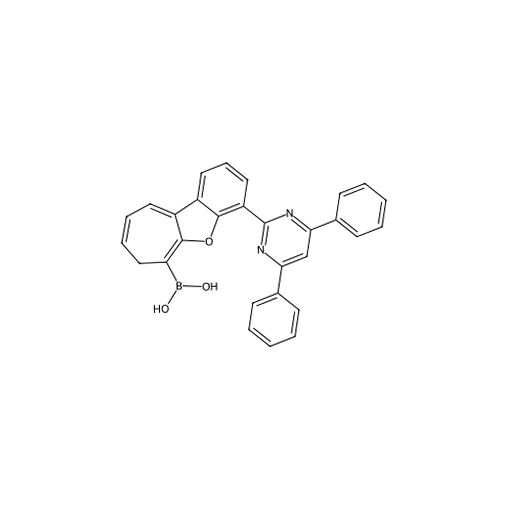 OB(O)C1=c2oc3c(-c4nc(-c5ccccc5)cc(-c5ccccc5)n4)cccc3c2=CC=CC1